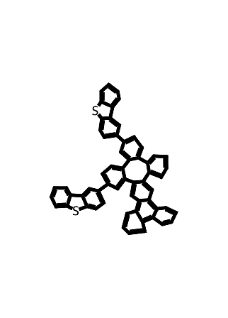 c1ccc2c(c1)-c1ccc(-c3ccc4sc5ccccc5c4c3)cc1-c1ccc(-c3ccc4sc5ccccc5c4c3)cc1-c1cc3c4ccccc4c4ccccc4c3cc1-2